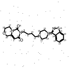 O=c1cc2n(c(=O)n1CCCCN1CCN(c3nsc4ccccc34)CC1)CCOC2